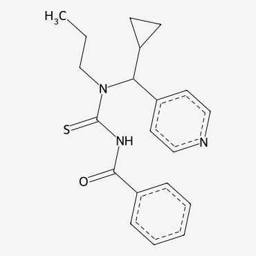 CCCN(C(=S)NC(=O)c1ccccc1)C(c1ccncc1)C1CC1